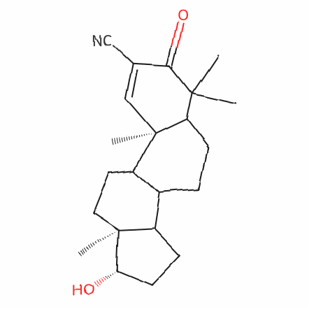 CC1(C)C(=O)C(C#N)=C[C@]2(C)C3CC[C@@]4(C)C(CC[C@@H]4O)C3CCC12